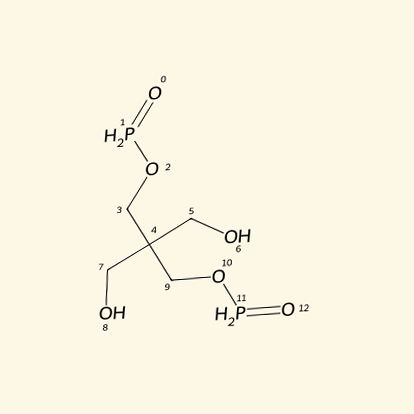 O=[PH2]OCC(CO)(CO)CO[PH2]=O